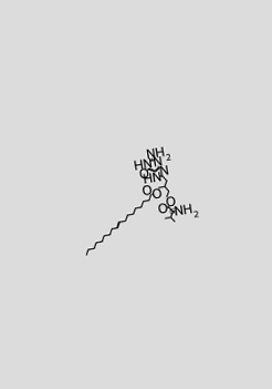 CCCCCCCCC=CCCCCCCCC(=O)OCC(CCOC(=O)[C@@H](N)C(C)C)Cc1nc2nc(N)[nH]c(=O)c2[nH]1